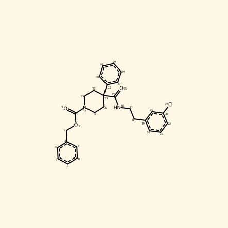 O=C(OCc1ccccc1)N1CCC(C(=O)NCCc2cccc(Cl)c2)(c2ccccc2)CC1